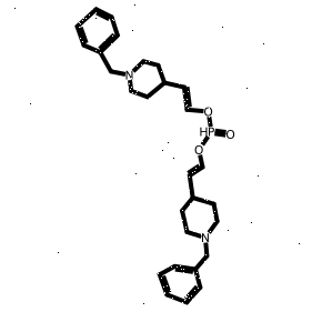 O=[PH](O/C=C/C1CCN(Cc2ccccc2)CC1)O/C=C/C1CCN(Cc2ccccc2)CC1